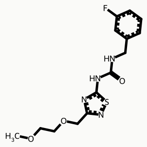 COCCOCc1nsc(NC(=O)NCc2cccc(F)c2)n1